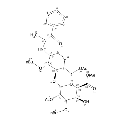 CCCCOC1[C@H](OC(C)=O)C(O[C@@H]2C(COC(C)=O)OC[C@@H](NC(C)C(=O)c3ccccc3)[C@H]2OCCCC)O[C@@H](C(=O)OC)[C@H]1O